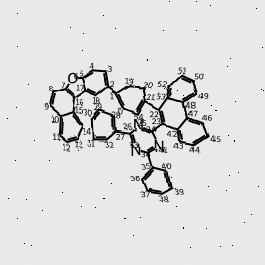 C1=C(c2ccc3oc4ccc5ccccc5c4c3c2)CCC(c2c(-c3nc(-c4ccccc4)nc(-c4ccccc4)n3)c3ccccc3c3ccccc23)=C1